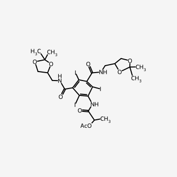 CC(=O)OC(C)C(=O)Nc1c(I)c(C(=O)NCC2COC(C)(C)O2)c(I)c(C(=O)NCC2COC(C)(C)O2)c1I